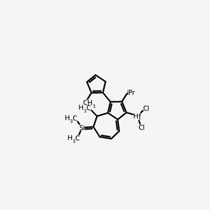 CC1=C(C2=C3C(=CC=CC(=[Si](C)C)C3C)[C]([Hf]([Cl])[Cl])=C2C(C)C)CC=C1